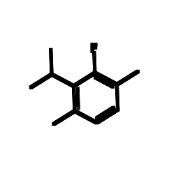 Cc1ccc(C)c(C(C)C)c1F